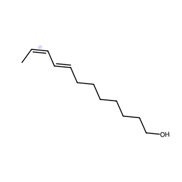 C/C=C\C=CCCCCCCCO